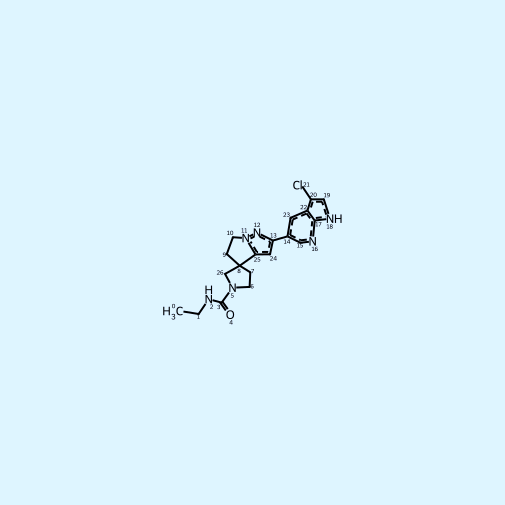 CCNC(=O)N1CCC2(CCn3nc(-c4cnc5[nH]cc(Cl)c5c4)cc32)C1